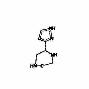 c1cc(C2CNCCN2)n[nH]1